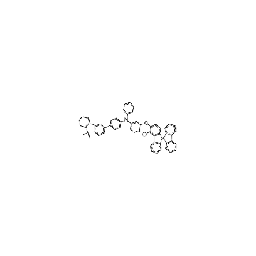 CC1(C)C2=C(C=CCC2)c2cc(-c3ccc(N(c4ccccc4)c4ccc5c(c4)Oc4ccc6c(c4O5)-c4ccccc4C64c5ccc#cc5-c5ccccc54)cc3)ccc21